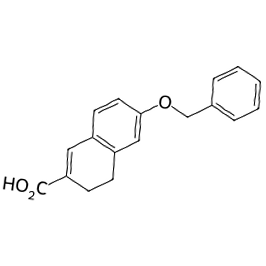 O=C(O)C1=Cc2ccc(OCc3ccccc3)cc2CC1